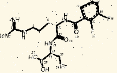 CNC(=N)NCCC[C@H](NC(=O)c1cccc(F)c1F)C(=O)N[C@@H](CC(C)C)B(O)O